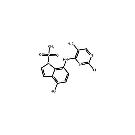 Cc1cnc(Cl)nc1Nc1ccc(O)c2ccn(S(C)(=O)=O)c12